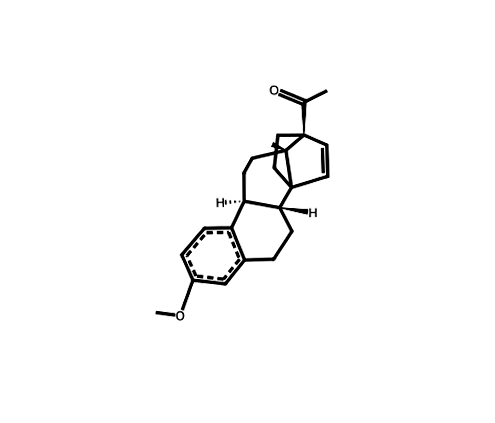 COc1ccc2c(c1)CC[C@@H]1[C@@H]2CC[C@@]2(C)C13C=C[C@@]2(C(C)=O)CC3